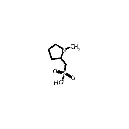 CN1CCCC1CS(=O)(=O)O